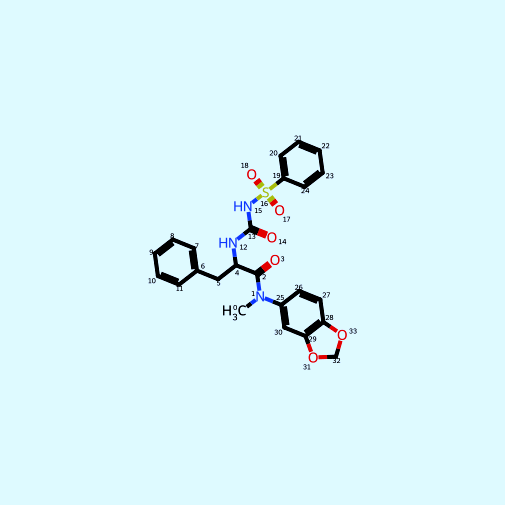 CN(C(=O)C(Cc1ccccc1)NC(=O)NS(=O)(=O)c1ccccc1)c1ccc2c(c1)OCO2